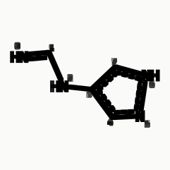 N=CNc1cn[nH]c1